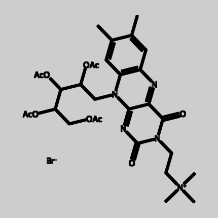 CC(=O)OCC(OC(C)=O)C(OC(C)=O)C(Cn1c2nc(=O)n(CC[N+](C)(C)C)c(=O)c-2nc2cc(C)c(C)cc21)OC(C)=O.[Br-]